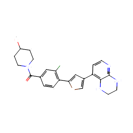 O=C(c1ccc(-c2cc(-c3ccnc4c3NCCN4)cs2)c(Cl)c1)N1CCC(O)CC1